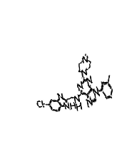 Cc1cccc(-n2cnc3c(NCc4nc5cc(Cl)ccc5[nH]4)nc(N4CCN(C)CC4)nc32)c1